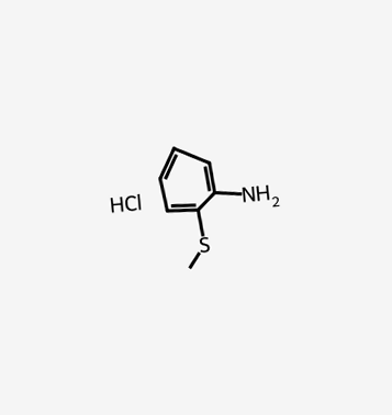 CSc1ccccc1N.Cl